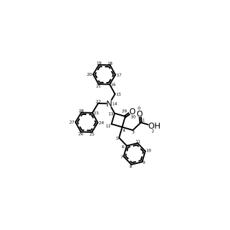 O=C(O)CC1(Cc2ccccc2)CC(N(Cc2ccccc2)Cc2ccccc2)C1=O